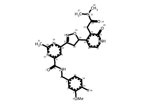 COc1cc(CNC(=O)c2cc(C3=NOC(c4cc[nH]c(=O)c4CC(=O)N(C)C)C3)nc(C)n2)ccc1F